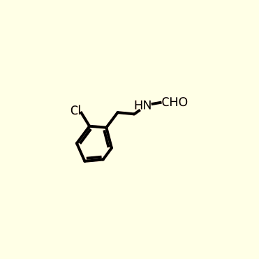 O=CNCCc1ccccc1Cl